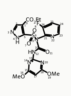 CCOC(=O)c1cn[nH]c1S(=O)(=O)N(C(=O)Nc1nc(OC)cc(OC)n1)c1ncccc1F